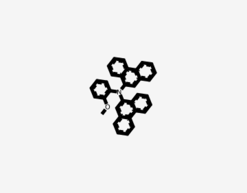 COc1ccccc1N(c1cc2ccccc2c2ccccc12)c1cc2ccccc2c2ccccc12